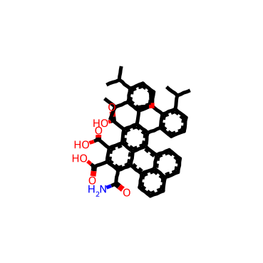 CC(C)c1cccc(-c2c(C(=O)O)c3c(C(=O)O)c(C(=O)O)c(C(N)=O)c4c5cccc6cccc(c(c2-c2cccc(C(C)C)c2C(C)C)c34)c65)c1C(C)C